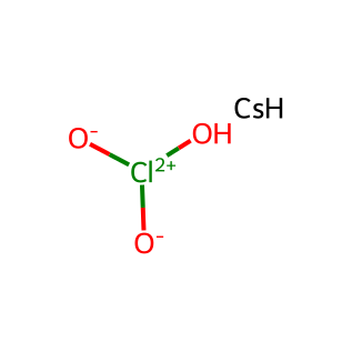 [CsH].[O-][Cl+2]([O-])O